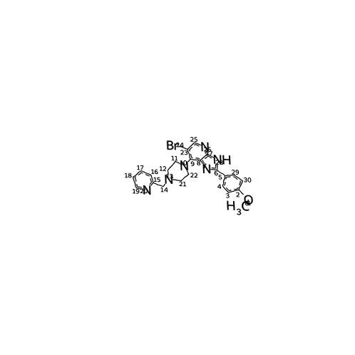 COc1ccc(-c2nc3c(N4CCN(Cc5ccccn5)CC4)c(Br)cnc3[nH]2)cc1